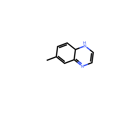 CC1=CC2=NC=CNC2C=C1